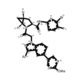 COc1ncc(-c2ccc3c(c2)c(C(C)=O)nn3CC(=O)N2[C@@H]3C[C@@H]3C[C@H]2C(=O)Nc2ccc(F)c(Br)n2)cn1